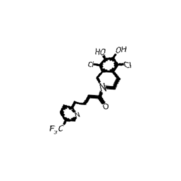 O=C(CCCc1ccc(C(F)(F)F)cn1)N1CCc2c(Cl)c(O)c(O)c(Cl)c2C1